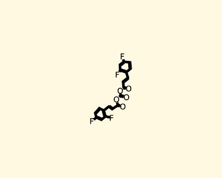 O=C(/C=C/c1ccc(F)cc1F)OC(=O)OC(=O)/C=C/c1ccc(F)cc1F